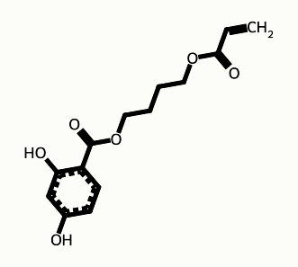 C=CC(=O)OCCCCOC(=O)c1ccc(O)cc1O